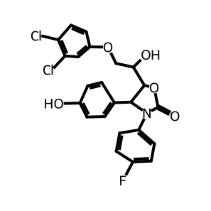 O=C1OC(C(O)COc2ccc(Cl)c(Cl)c2)C(c2ccc(O)cc2)N1c1ccc(F)cc1